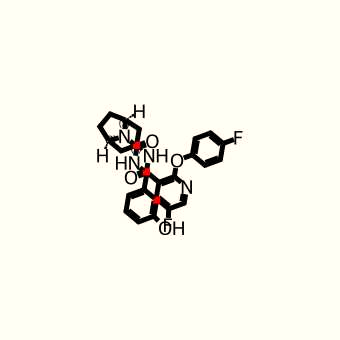 O=C(N[C@@H]1C[C@H]2CC[C@@H](C1)N2C(=O)NCc1cccc(O)c1)c1cc(F)cnc1Oc1ccc(F)cc1